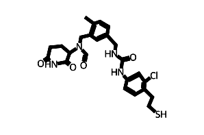 Cc1ccc(CNC(=O)Nc2ccc(CCS)c(Cl)c2)cc1CN(C=O)C1CCC(=O)NC1=O